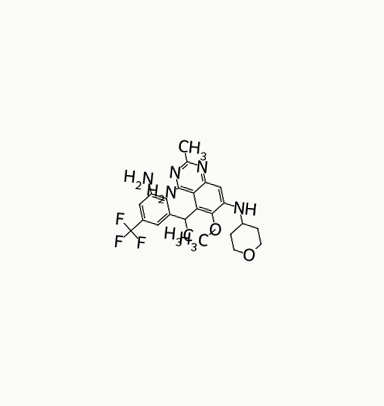 COc1c(NC2CCOCC2)cc2nc(C)nc(N)c2c1C(C)c1cc(N)cc(C(F)(F)F)c1